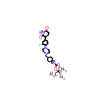 CC(C)(C)OC(=O)N1CC2(CCC(CN3CCN(c4ccc(C5CCC(=O)NC5=O)cc4F)CC3)CC2)C1